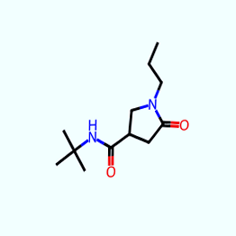 CCCN1CC(C(=O)NC(C)(C)C)CC1=O